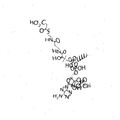 CC(C)(COP(=O)(O)OP(=O)(O)OC[C@H]1O[C@@H](n2cnc3c(N)ncnc32)[C@H](O)[C@@H]1OP(=O)(O)O)[C@@H](O)C(=O)NCCC(=O)NCCSC(=O)CC(=O)O.[Li].[Li].[Li].[Li]